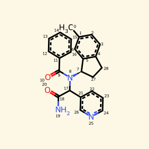 Cc1ccc2c(c1)[C@H](N(C(=O)c1ccccc1)C(C(N)=O)c1cccnc1)CC2